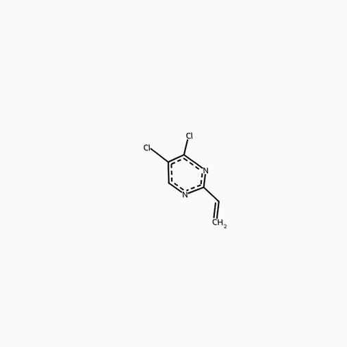 C=Cc1ncc(Cl)c(Cl)n1